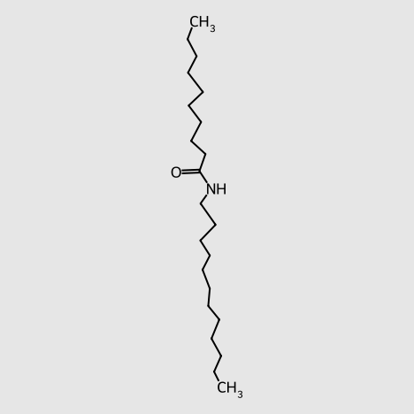 CCCCCCCCCCCCNC(=O)CCCCCCCCC